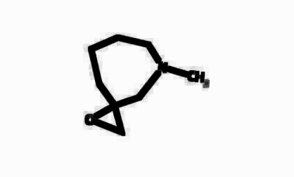 CN1CCCCC2(CO2)C1